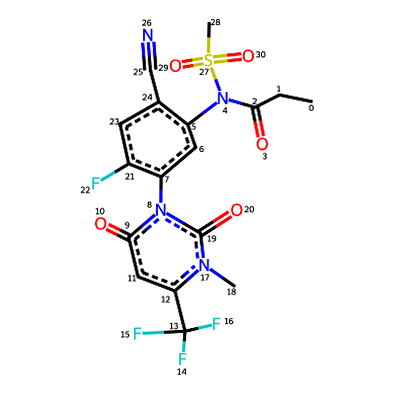 CCC(=O)N(c1cc(-n2c(=O)cc(C(F)(F)F)n(C)c2=O)c(F)cc1C#N)S(C)(=O)=O